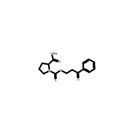 COC(=O)C1CCCN1C(=S)SCCC(=O)c1ccccc1